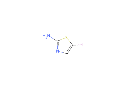 Nc1ncc(I)s1